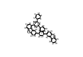 c1ccc(-c2nc(-c3ccccc3)nc(-c3cccc4oc5ccc(-c6ccc(-c7ccc8sc9ccccc9c8c7)cc6)cc5c34)n2)cc1